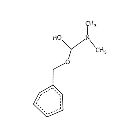 CN(C)C(O)OCc1ccccc1